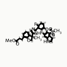 COC(=O)CCc1cccc2c1OC[C@@]2(C)c1cnc(-c2cc(Oc3c(F)cc4[nH]ccc4c3S(C)(=O)=O)ccc2F)[nH]1